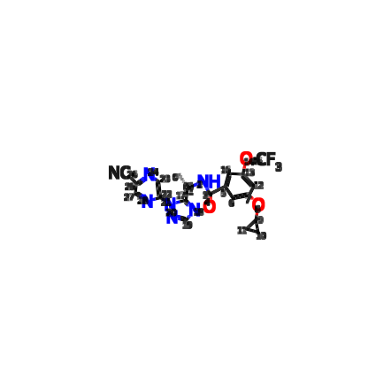 C[C@H](NC(=O)c1cc(OC2CC2)cc(OC(F)(F)F)c1)c1ncnn1-c1cnc(C#N)cn1